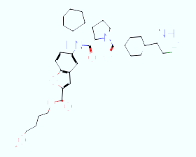 COCCCCOC(=O)c1cc2cc(NC(=O)[C@@H]3[C@H](C4CCCCC4)CCN3C(=O)[C@H]3CC[C@H]([C@H](N)CF)CC3)ccc2o1